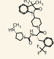 CN[C@H]1CCN(C(=O)N[C@@H](Cc2ccccc2C(F)(F)F)C(=O)N2CCC(N3C(=O)C(C)(C)c4ccccc43)CC2)C1